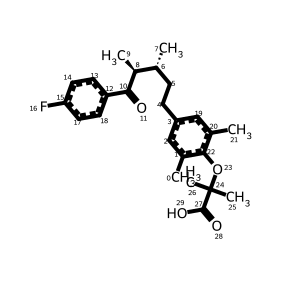 Cc1cc(CC[C@@H](C)[C@H](C)C(=O)c2ccc(F)cc2)cc(C)c1OC(C)(C)C(=O)O